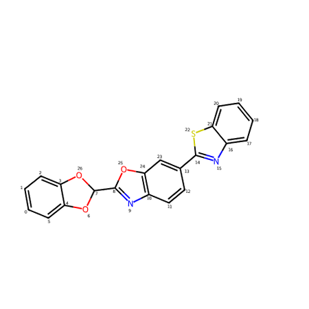 c1ccc2c(c1)OC(c1nc3ccc(-c4nc5ccccc5s4)cc3o1)O2